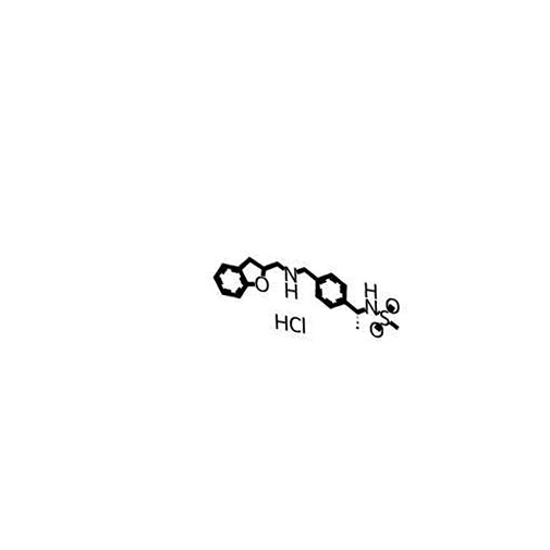 C[C@@H](NS(C)(=O)=O)c1ccc(CNCC2Cc3ccccc3O2)cc1.Cl